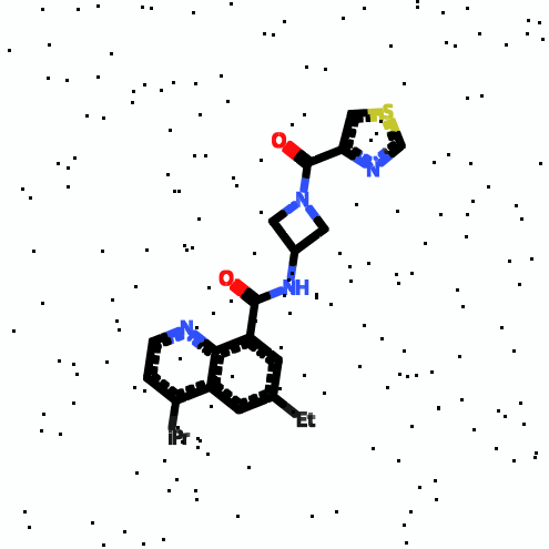 CCc1cc(C(=O)NC2CN(C(=O)c3cscn3)C2)c2nccc(C(C)C)c2c1